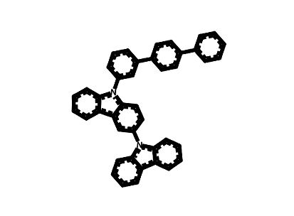 c1ccc(-c2ccc(-c3cccc(-n4c5ccccc5c5cc(-n6c7ccccc7c7ccccc76)ccc54)c3)cc2)cc1